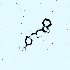 NC1CCN(CC(O)Cc2coc3ccccc23)CC1